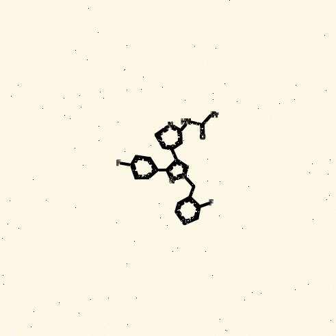 CC(C)C(=O)Nc1cc(-c2cn(Cc3ccccc3F)nc2-c2ccc(F)cc2)ccn1